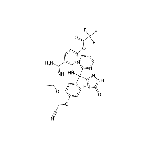 CCOc1cc(C(Nc2cc(OC(=O)C(F)(F)F)ccc2C(=N)N)(c2ncccn2)c2n[nH]c(=O)[nH]2)ccc1OCC#N